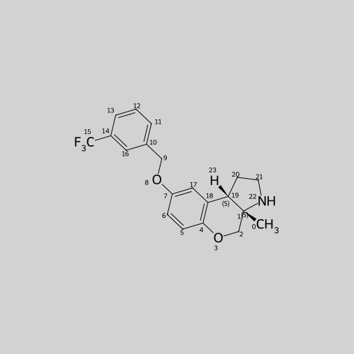 C[C@@]12COc3ccc(OCc4cccc(C(F)(F)F)c4)cc3[C@@H]1CCN2